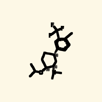 Cc1ccc([C@H]2CC[C@H](OC(C)C)[C@@H](N(C)C)C2)cc1C(F)(F)F